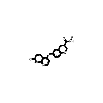 O=C1CCc2c(Oc3ccc4c(c3)CC(C(=O)NF)CO4)ccnc2N1